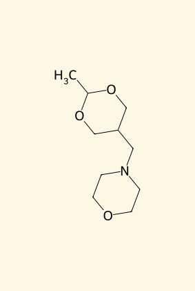 CC1OCC(CN2CCOCC2)CO1